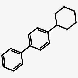 [c]1ccc(-c2ccc(C3CCCCC3)cc2)cc1